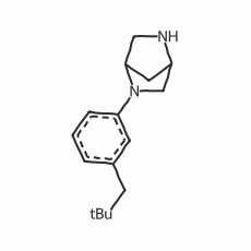 CC(C)(C)Cc1cccc(N2CC3CC2CN3)c1